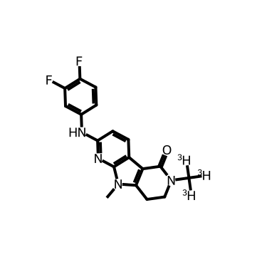 [3H]C([3H])([3H])N1CCc2c(c3ccc(Nc4ccc(F)c(F)c4)nc3n2C)C1=O